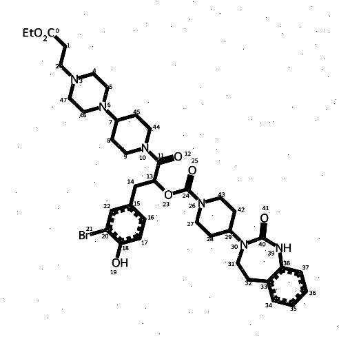 CCOC(=O)CCN1CCN(C2CCN(C(=O)C(Cc3ccc(O)c(Br)c3)OC(=O)N3CCC(N4CCc5ccccc5NC4=O)CC3)CC2)CC1